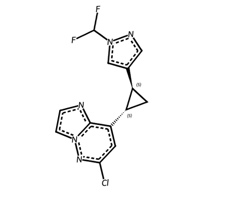 FC(F)n1cc([C@H]2C[C@@H]2c2cc(Cl)nn3ccnc23)cn1